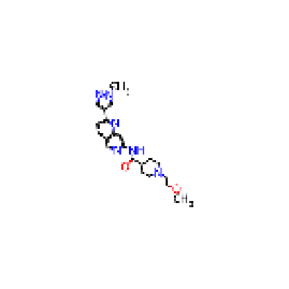 COCCN1CCC(C(=O)Nc2cc3nc(-c4cnn(C)c4)ccc3cn2)CC1